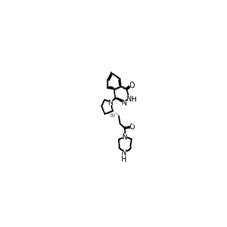 O=C(CC[C@@H]1CCCN1c1n[nH]c(=O)c2ccccc12)N1CCNCC1